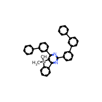 C[Si]1(C)c2ccccc2-c2nc(-c3cccc(-c4cccc(-c5ccccc5)c4)c3)nc(-c3cccc(-c4ccccc4)c3)c21